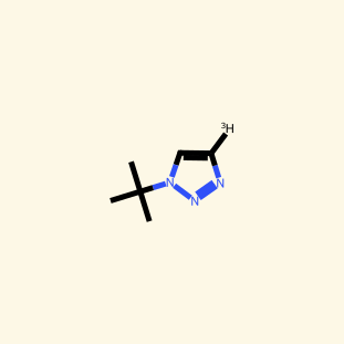 [3H]c1cn(C(C)(C)C)nn1